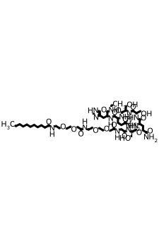 CCCCCCCCCCC(=O)NCCOCCOCC(=O)NCCOCCOCC(=O)NCC(=O)N[C@H](CO)C(=O)NC(CCC(N)=O)C(=O)NC(CO)C(=O)NC(CO)C(=O)NC(CCC(N)=O)C(=O)NC(Cc1c[nH]cn1)C(=O)NCC